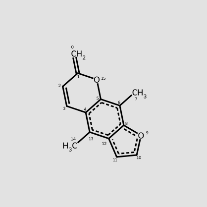 C=C1C=Cc2c(c(C)c3occc3c2C)O1